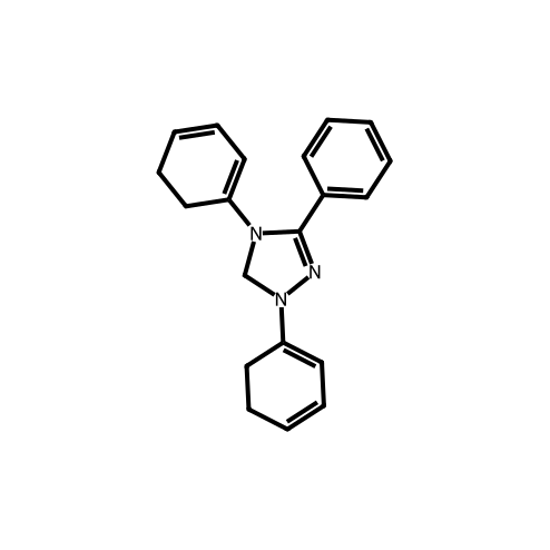 C1=CCCC(N2CN(C3=CC=CCC3)C(c3ccccc3)=N2)=C1